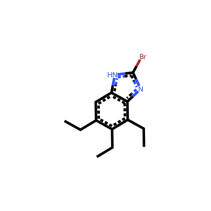 CCc1cc2[nH]c(Br)nc2c(CC)c1CC